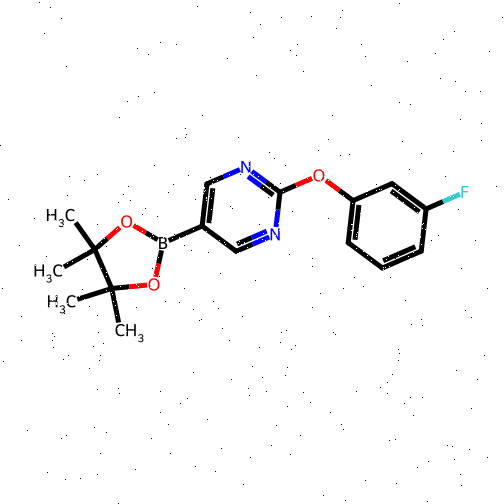 CC1(C)OB(c2cnc(Oc3cccc(F)c3)nc2)OC1(C)C